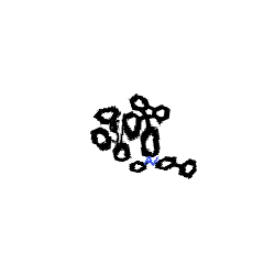 c1ccc(-c2ccc(N(c3ccccc3)c3ccc(C4(c5ccc([Si](c6ccccc6)(c6ccccc6)c6ccccc6)cc5)c5ccccc5-c5ccccc54)cc3)cc2)cc1